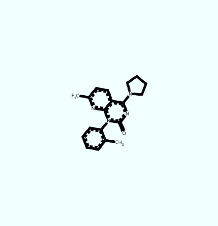 Cc1ccccc1-n1c(=O)nc(N2CCCC2)c2ccc(C(F)(F)F)nc21